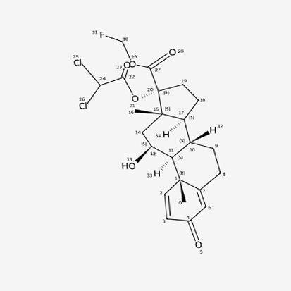 C[C@]12C=CC(=O)C=C1CC[C@@H]1[C@@H]2[C@@H](O)C[C@@]2(C)[C@H]1CC[C@]2(OC(=O)C(Cl)Cl)C(=O)OCF